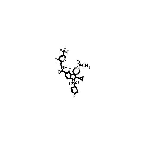 CC(=O)N1CCC2(CC1)c1c(ccc(C(=O)NCc3ncc(C(F)(F)F)cc3F)c1F)N(S(=O)(=O)c1ccc(F)cc1)C2C1CC1